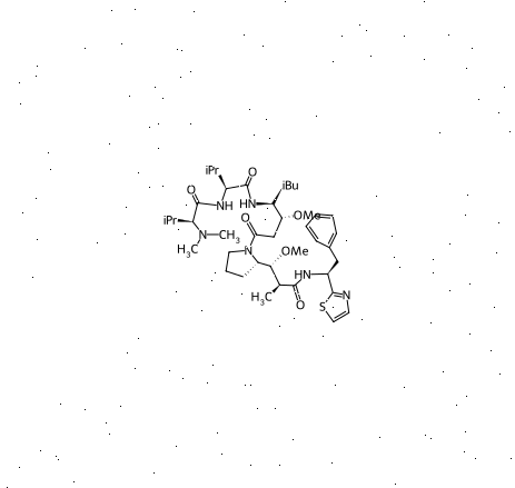 CC[C@H](C)[C@H](NC(=O)[C@@H](NC(=O)[C@H](C(C)C)N(C)C)C(C)C)[C@@H](CC(=O)N1CCC[C@H]1[C@H](OC)[C@H](C)C(=O)N[C@@H](Cc1ccccc1)c1nccs1)OC